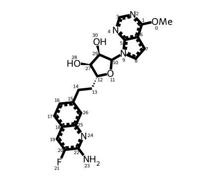 COc1ncnc2c1ccn2C1O[C@H](CCc2ccc3cc(F)c(N)nc3c2)[C@@H](O)[C@H]1O